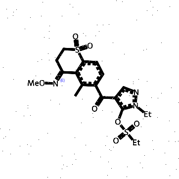 CCn1ncc(C(=O)c2ccc3c(c2C)/C(=N/OC)CCS3(=O)=O)c1OS(=O)(=O)CC